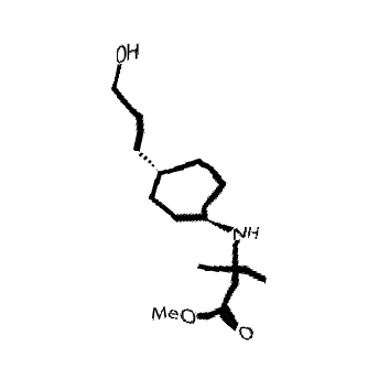 COC(=O)C(C)(C)N[C@H]1CC[C@H](CCCO)CC1